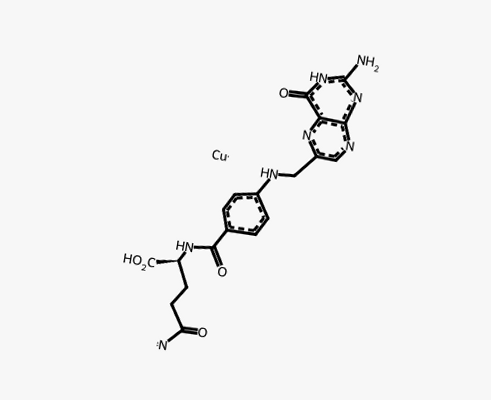 [Cu].[N]C(=O)CC[C@H](NC(=O)c1ccc(NCc2cnc3nc(N)[nH]c(=O)c3n2)cc1)C(=O)O